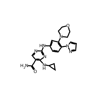 NC(=O)c1cnc(Nc2ccc(-n3cccn3)c(N3CCOCC3)c2)nc1NC1CC1